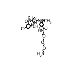 COc1cc(C(=O)NCCOCCOCCOCCN)ccc1Nc1ncc2c(n1)N(C)c1ccc(Cl)cc1C(=O)N2C